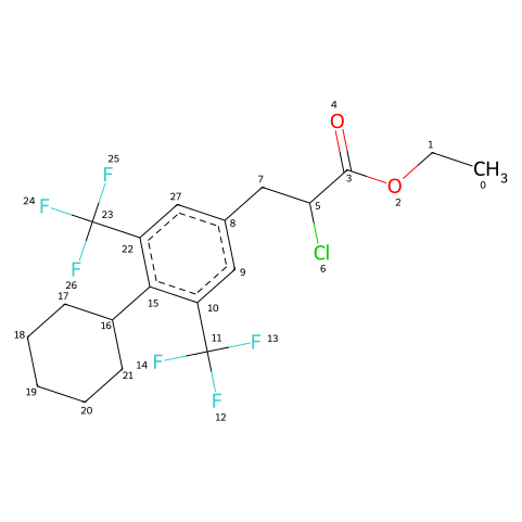 CCOC(=O)C(Cl)Cc1cc(C(F)(F)F)c(C2CCCCC2)c(C(F)(F)F)c1